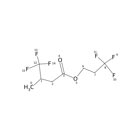 CC(CC(=O)OCCC(F)(F)F)C(F)(F)F